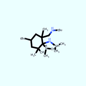 C[SiH](C)NC1([SiH](C)C)C(C)(C)CC(C(C)(C)C)CC1(C)CNC(C)(C)C